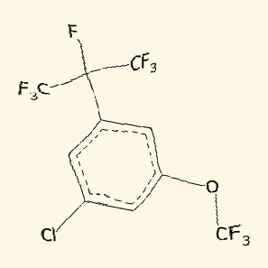 FC(F)(F)Oc1cc(Cl)cc(C(F)(C(F)(F)F)C(F)(F)F)c1